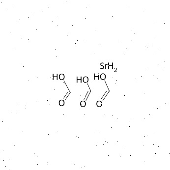 O=CO.O=CO.O=CO.[SrH2]